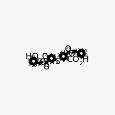 O=C(O)c1cc(Sc2ccc(C(=O)O)c(C(=O)OCc3ccccc3)c2)ccc1C(=O)OCc1ccccc1